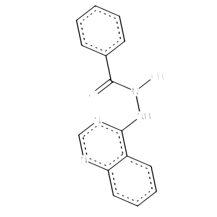 CN(Nc1ncnc2ccccc12)C(=O)c1ccccc1